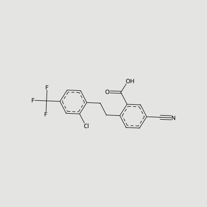 N#Cc1ccc(CCc2ccc(C(F)(F)F)cc2Cl)c(C(=O)O)c1